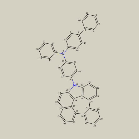 c1ccc(-c2ccc(N(c3ccccc3)c3ccc(-n4c5cccc6c5c5c7c(cccc7ccc54)-c4ccccc4-6)cc3)cc2)cc1